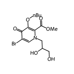 CCCCOc1c(C(=O)OC)n(CC(O)CO)cc(Br)c1=O